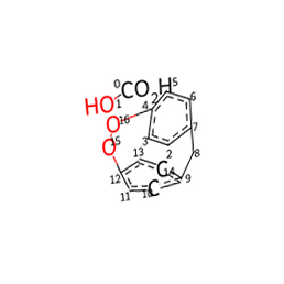 O=C(O)O.c1cc2ccc1Cc1ccc(cc1)OO2